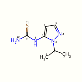 CC(C)n1nccc1NC(N)=S